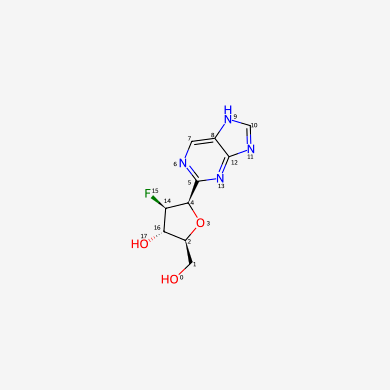 OC[C@@H]1O[C@H](c2ncc3[nH]cnc3n2)[C@H](F)[C@H]1O